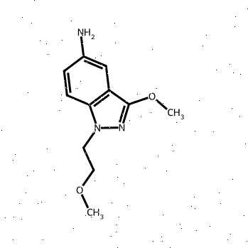 COCCn1nc(OC)c2cc(N)ccc21